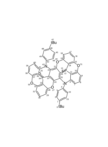 CC(C)(C)c1ccc(N2c3cccc4c3P3(=S)c5c(cccc5Oc5c6c7c(c2c53)Oc2cccc3c2P7(=S)c2c(cccc2N6c2ccc(C(C)(C)C)cc2)O3)O4)cc1